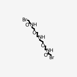 O=C(CBr)NCCOCCNCCOCCNC(=O)CBr